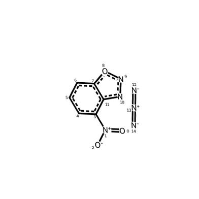 O=[N+]([O-])c1cccc2onnc12.[N-]=[N+]=[N-]